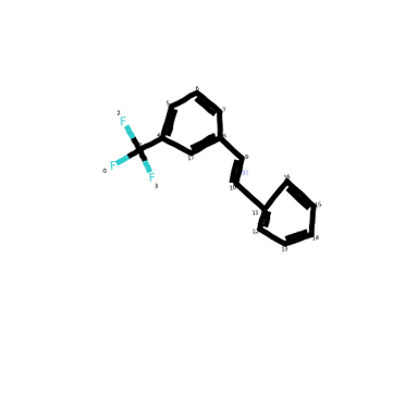 FC(F)(F)c1cccc(/C=C/c2ccccc2)c1